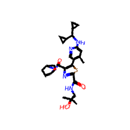 Cc1cc(NC(C2CC2)C2CC2)ncc1-c1sc(C(=O)NCC(C)(C)O)nc1C(=O)N1C2CCC1CC2